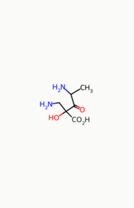 CC(N)C(=O)C(O)(CN)C(=O)O